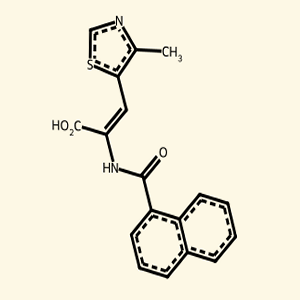 Cc1ncsc1C=C(NC(=O)c1cccc2ccccc12)C(=O)O